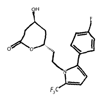 O=C1C[C@@H](O)C[C@H](CCn2c(-c3ccc(F)cc3)ccc2C(F)(F)F)O1